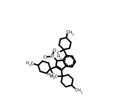 CC1CCC(C)(C2=C(C3(C)CCC(C)CC3)[CH]([Zr]([Cl])[Cl])c3c2cccc3C2(C)CCC(C)CC2)CC1